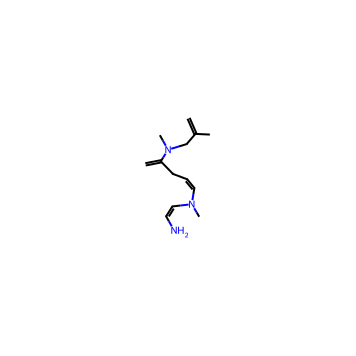 C=C(C)CN(C)C(=C)C/C=C\N(C)/C=C\N